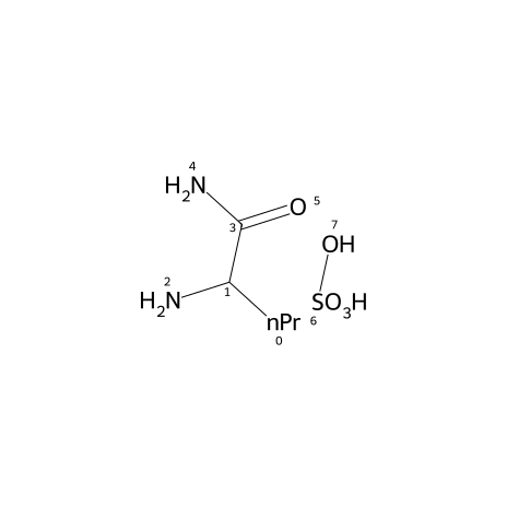 CCCC(N)C(N)=O.O=S(=O)(O)O